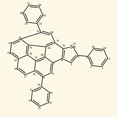 c1ccc(-c2cc3c4cc(-c5ccccc5)c5ccc6ccc7c(-c8ccccc8)cc(c3[se]2)c2c7c6c5c42)cc1